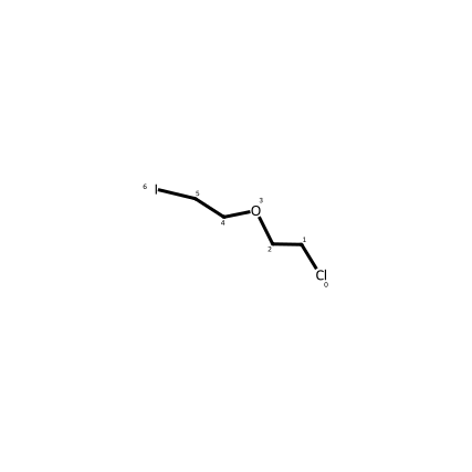 ClCCOCCI